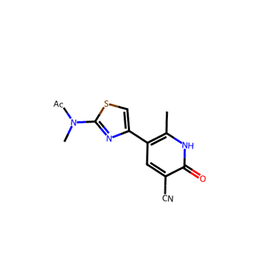 CC(=O)N(C)c1nc(-c2cc(C#N)c(=O)[nH]c2C)cs1